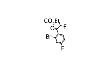 CCOC(=O)C(F)C(=O)c1ccc(F)cc1Br